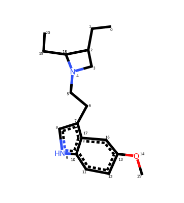 CCC1CN(CCc2c[nH]c3ccc(OC)cc23)C1CC